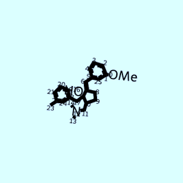 COc1cccc(C=C2CCC(CN(C)C)C2(O)Cc2cccc(C)c2)c1